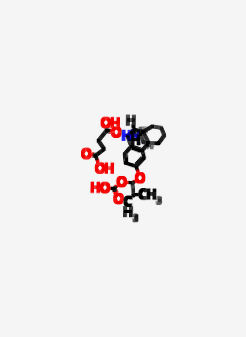 CC(C)C(OC(=O)O)Oc1ccc2c(c1)[C@@]13CCCC[C@H]1[C@@H](C2)NCC3.O=C(O)CCC(=O)O